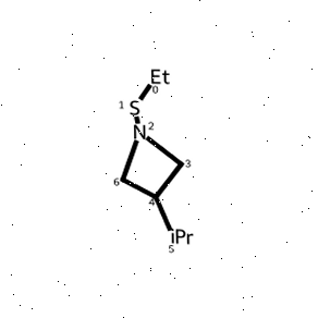 CCSN1CC(C(C)C)C1